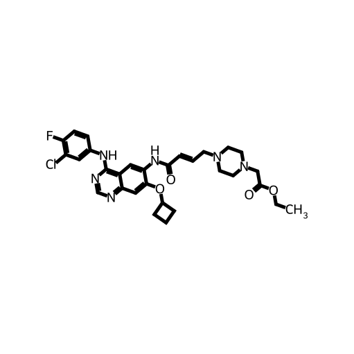 CCOC(=O)CN1CCN(CC=CC(=O)Nc2cc3c(Nc4ccc(F)c(Cl)c4)ncnc3cc2OC2CCC2)CC1